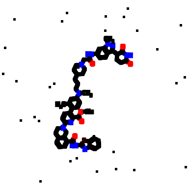 Cc1cc(N(C)CCCC2CCN(CC(=O)Nc3ccc4c(C5CCC(=O)NC5=O)nn(C)c4c3)CC2)ccc1-c1ccc(N2CCc3cccc(C(=O)Nc4nc5ccccc5s4)c3C2)nc1C(=O)OC(C)(C)C